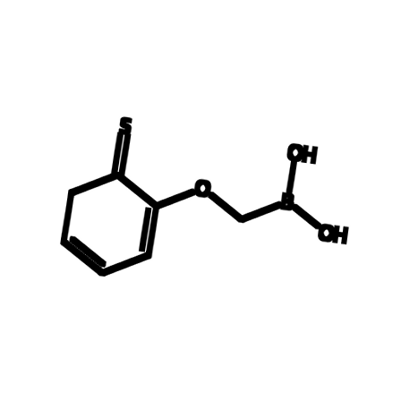 OB(O)COC1=CC=CCC1=S